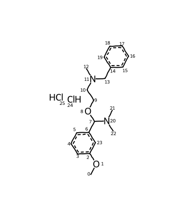 COc1cccc(C(OCCN(C)Cc2ccccc2)N(C)C)c1.Cl.Cl